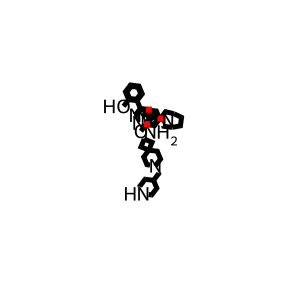 Nc1nnc(-c2ccccc2O)cc1N1CC2CCC(C1)N2c1ccnc(OC2CC3(CCN(CC4CCNCC4)CC3)C2)c1